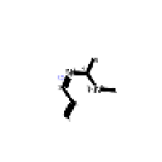 C=C/C=N\C(C)NC